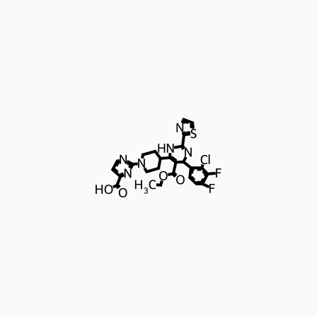 CCOC(=O)C1=C(C2CCN(c3nccc(C(=O)O)n3)CC2)NC(c2nccs2)=NC1c1ccc(F)c(F)c1Cl